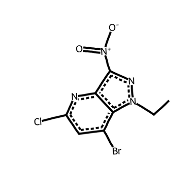 CCn1nc([N+](=O)[O-])c2nc(Cl)cc(Br)c21